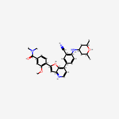 COc1cc(C(=O)N(C)C)ccc1-c1cc2nccc(-c3ccc(NC4CC(C)OC(C)C4)c(C#N)c3)c2o1